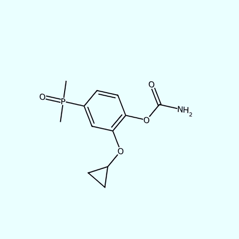 CP(C)(=O)c1ccc(OC(N)=O)c(OC2CC2)c1